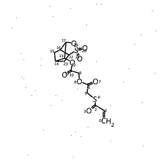 C=CC(=O)SCC(=O)OCC(=O)OC1C2CC3C1OS(=O)(=O)C3C2